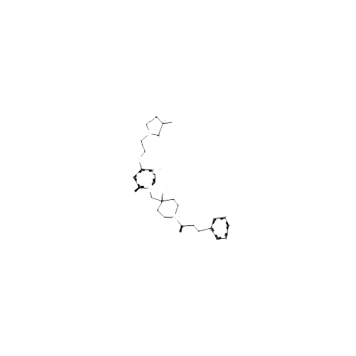 O=C(CCc1ccccc1)N1CCC(O)(Cn2cnc(NCCN3CCC(F)C3)cc2=O)CC1